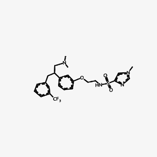 CN(C)CC(Cc1cccc(C(F)(F)F)c1)c1cccc(OCCNS(=O)(=O)c2cn(C)cn2)c1